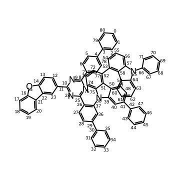 c1ccc(-c2ccc(-c3nc(-c4ccc5oc6ccccc6c5c4)nc(-c4ccc(-c5ccccc5)cc4-n4c5cc(-c6ccccc6)ccc5c5c(-c6cccc7c6c6ccccc6n7-c6ccccc6)cccc54)n3)cc2)cc1